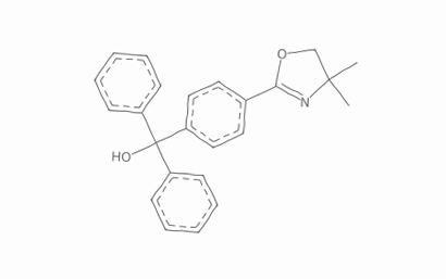 CC1(C)COC(c2ccc(C(O)(c3ccccc3)c3ccccc3)cc2)=N1